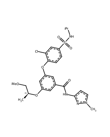 COC[C@H](C)Oc1cc(Oc2ccc(S(=O)(=O)NC(C)C)cc2Cl)cc(C(=O)Nc2ccn(C)n2)c1